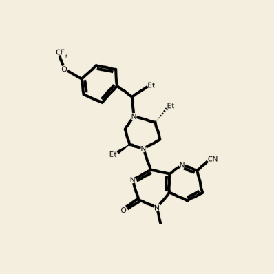 CCC(c1ccc(OC(F)(F)F)cc1)N1C[C@H](CC)N(c2nc(=O)n(C)c3ccc(C#N)nc23)C[C@H]1CC